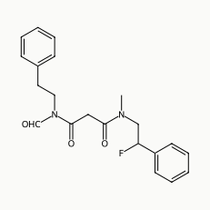 CN(CC(F)c1ccccc1)C(=O)CC(=O)N(C=O)CCc1ccccc1